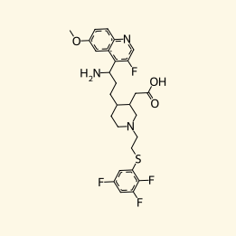 COc1ccc2ncc(F)c(C(N)CCC3CCN(CCSc4cc(F)cc(F)c4F)CC3CC(=O)O)c2c1